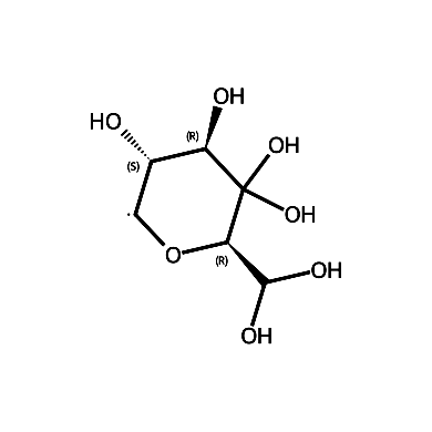 OC(O)[C@H]1O[CH][C@H](O)[C@@H](O)C1(O)O